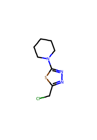 ClCc1nnc(N2CCCCC2)s1